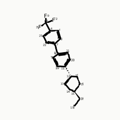 FC(F)(F)c1ccc(-c2ccc([C@H]3CC[C@H](CI)CC3)cc2)cc1